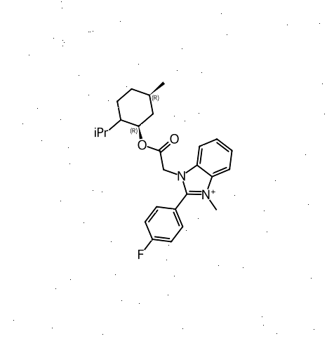 CC(C)C1CC[C@@H](C)C[C@H]1OC(=O)Cn1c(-c2ccc(F)cc2)[n+](C)c2ccccc21